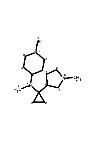 CC(C)N1CCC(N(C)C2(C3CCN(C)C3)CC2)CC1